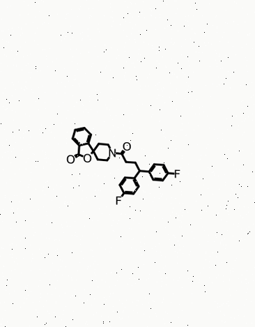 O=C1OC2(CCN(C(=O)CCC(c3ccc(F)cc3)c3ccc(F)cc3)CC2)c2ccccc21